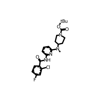 CN(c1cccc(NC(=O)c2ccc(F)cc2Cl)n1)C1CCN(C(=O)OC(C)(C)C)CC1